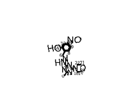 Cc1nc(N/N=C/c2ccc(N=O)cc2O)nc(N2CCOCC2)n1